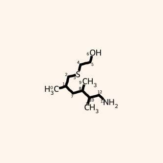 CC(CSCCO)CC(C)C(C)CN